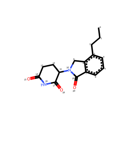 CCCc1cccc2c1CN(C1CCC(=O)NC1=O)C2=O